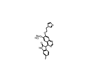 COc1cc2c(C3C(=O)Nc4cc(F)ccc43)ncnc2cc1OCCn1ccnc1.Cl